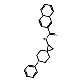 O=C(NC1CC12CCN(c1ccccc1)CC2)C1=CC2C=CC=CC2C=C1